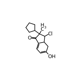 CC1(C2CCCC2)C(=O)C2=CC=C(O)CC2C1Cl